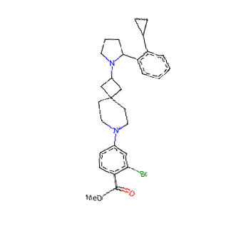 COC(=O)c1ccc(N2CCC3(CC2)CC(N2CCCC2c2ccccc2C2CC2)C3)cc1Br